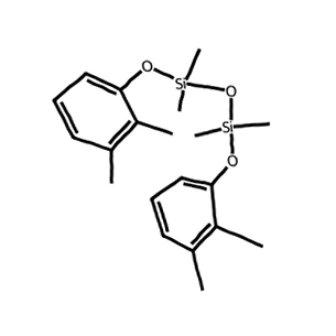 Cc1cccc(O[Si](C)(C)O[Si](C)(C)Oc2cccc(C)c2C)c1C